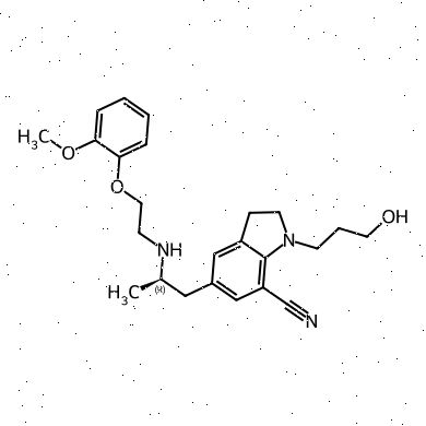 COc1ccccc1OCCN[C@H](C)Cc1cc(C#N)c2c(c1)CCN2CCCO